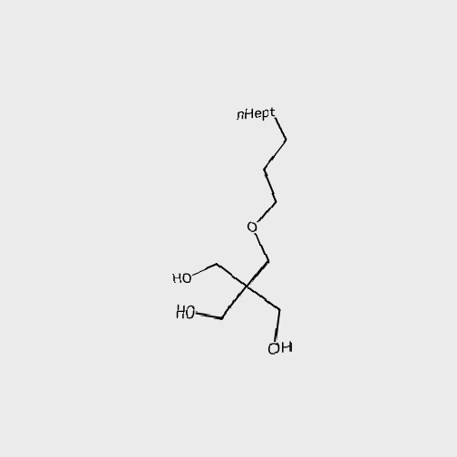 CCCCCCCCCCOCC(CO)(CO)CO